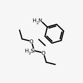 CC.CCO[SiH2]OCC.Nc1ccccc1